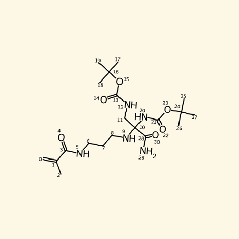 C=C(C)C(=O)NCCCNC(CNC(=O)OC(C)(C)C)(NC(=O)OC(C)(C)C)C(N)=O